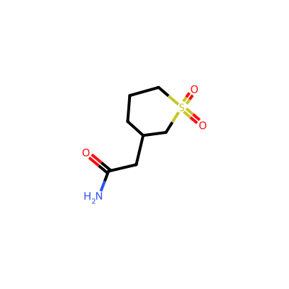 NC(=O)CC1CCCS(=O)(=O)C1